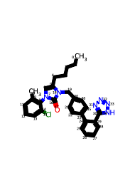 CCCCCc1cn(-c2c(C)cccc2Cl)c(=O)n1Cc1ccc(-c2ccccc2-c2nnn[nH]2)cc1